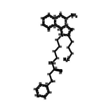 CCCCc1nc2c(N)nc3cccnc3c2n1CCCCNC(=O)CSc1ccncc1